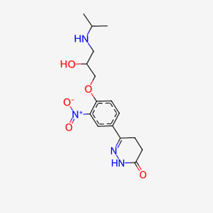 CC(C)NCC(O)COc1ccc(C2=NNC(=O)CC2)cc1[N+](=O)[O-]